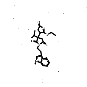 CCOC1OC(=O)CC1C1(C(C)C)CC(=O)N(CCc2cn(C)c3ccccc23)C1=O